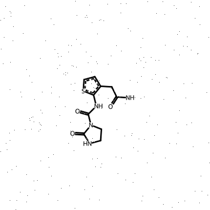 [NH]C(=O)Cc1ccsc1NC(=O)N1CCNC1=O